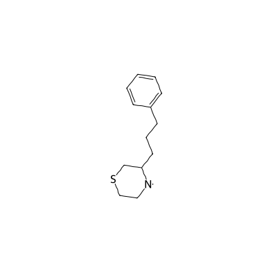 c1ccc(CCCC2CSCC[N]2)cc1